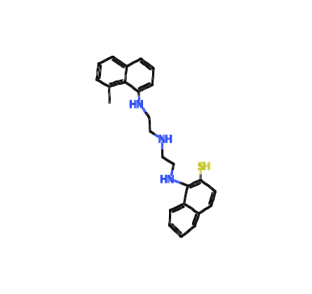 Cc1cccc2cccc(NCCNCCNc3c(S)ccc4ccccc34)c12